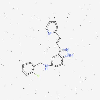 Fc1ccccc1CNc1ccc2[nH]nc(C=Cc3ccccn3)c2c1